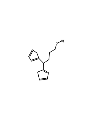 [Hf][O]CCCC(C1=CC=CC1)C1=CC=CC1